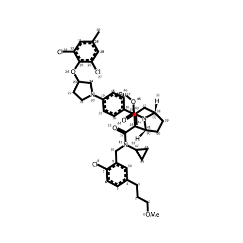 COCCCc1ccc(Cl)c(CN(C(=O)C2=C(c3ccc(N4CCC(Oc5c(Cl)cc(C)cc5Cl)C4)cc3)C[C@@H]3CC[C@H]2N3C(=O)OC(C)(C)C)C2CC2)c1